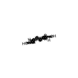 Cc1c(-c2ccn3c(=O)c(CNCCO)cnc3c2)cccc1-c1cccc(-c2ccn3c(=O)c(CNCCO)cnc3c2)c1C